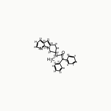 CN(C(=O)C(c1ccccc1)c1ccccc1)[C@@H]1CCc2[c]c3cccnc3n2C1